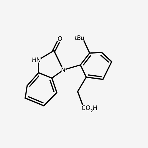 CC(C)(C)c1cccc(CC(=O)O)c1-n1c(=O)[nH]c2ccccc21